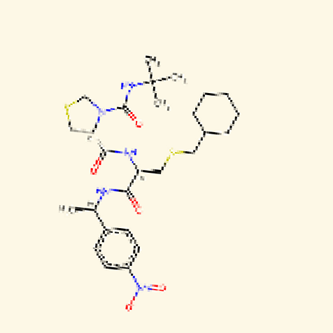 C[C@@H](NC(=O)[C@H](CSCC1CCCCC1)NC(=O)[C@@H]1CSCN1C(=O)NC(C)(C)C)c1ccc([N+](=O)[O-])cc1